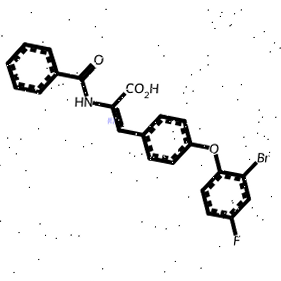 O=C(O)/C(=C\c1ccc(Oc2ccc(F)cc2Br)cc1)NC(=O)c1ccccc1